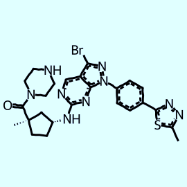 Cc1nnc(-c2ccc(-n3nc(Br)c4cnc(N[C@@H]5CC[C@@](C)(C(=O)N6CCNCC6)C5)nc43)cc2)s1